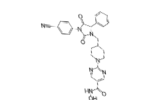 N#Cc1ccc(N2C(=O)C(c3ccccc3)N(CC3CCN(c4ncc(C(=O)NO)cn4)CC3)C2=O)cc1